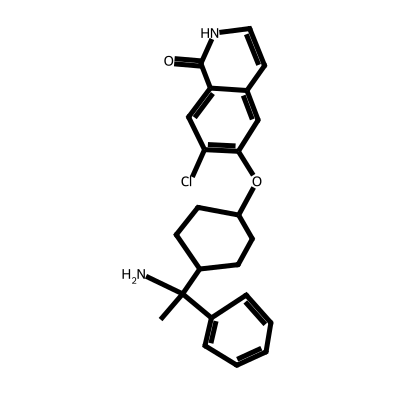 CC(N)(c1ccccc1)C1CCC(Oc2cc3cc[nH]c(=O)c3cc2Cl)CC1